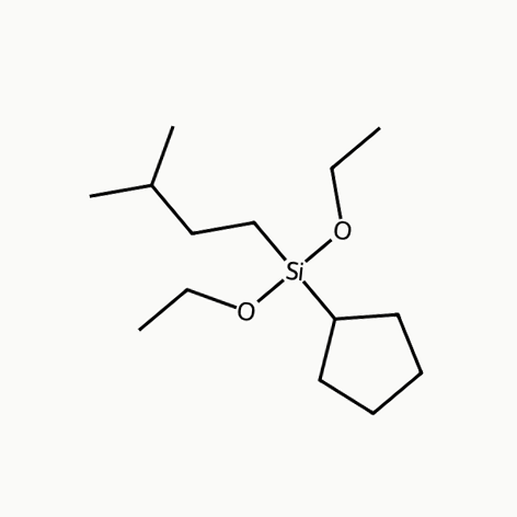 CCO[Si](CCC(C)C)(OCC)C1CCCC1